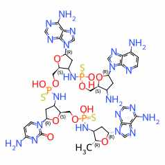 C[C@H]1O[C@@H](n2cnc3c(N)ncnc32)CC1NP(O)(=S)OC[C@H]1O[C@@H](n2ccc(N)nc2=O)CC1NP(O)(=S)OC[C@H]1O[C@@H](n2cnc3c(N)ncnc32)CC1NP(O)(=S)OC[C@H]1O[C@@H](n2cnc3c(N)ccnc32)CC1N